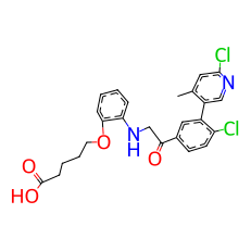 Cc1cc(Cl)ncc1-c1cc(C(=O)CNc2ccccc2OCCCCC(=O)O)ccc1Cl